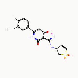 Cc1ccc(-c2cc3onc(NC4C=CS(=O)(=O)C4)c3c(=O)[nH]2)cc1C